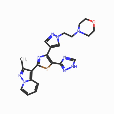 Cc1nn2ccccc2c1-c1nc(-c2cnn(CCN3CCOCC3)c2)c(-c2nc[nH]n2)s1